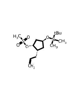 C=CC[C@H]1C[C@H](O[Si](C)(C)C(C)(C)C)C[C@H]1OS(C)(=O)=O